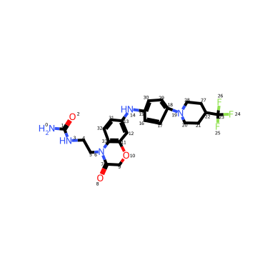 NC(=O)NCCN1C(=O)COc2cc(Nc3ccc(N4CCC(C(F)(F)F)CC4)cc3)ccc21